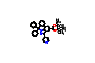 CC1(C)OB(c2ccc3c(c2)c(-c2ccncc2)nn3C(c2ccccc2)(c2ccccc2)c2ccccc2)OC1(C)C